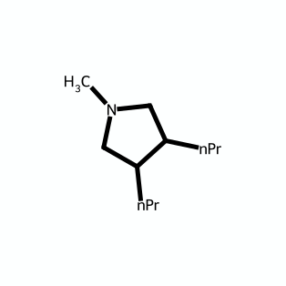 CCCC1CN(C)CC1CCC